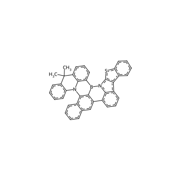 CC1(C)c2ccccc2N2c3c(cccc31)B1c3c(cc4ccccc4c32)-c2cccc3c4c5ccccc5sc4n1c23